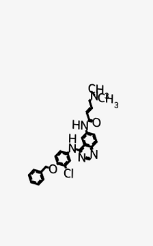 CN(C)CC=CC(=O)Nc1ccc2ncnc(Nc3ccc(OCc4ccccc4)c(Cl)c3)c2c1